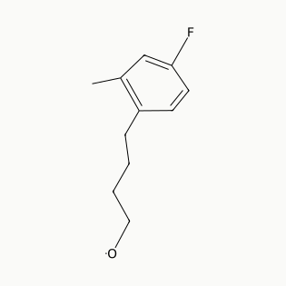 Cc1cc(F)ccc1CCCC[O]